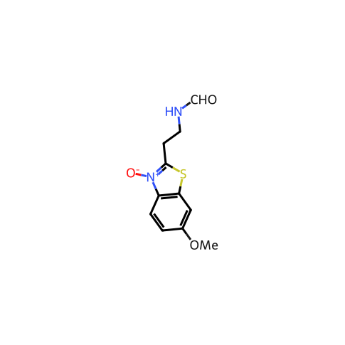 COc1ccc2c(c1)sc(CCNC=O)[n+]2[O-]